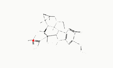 CC[C@]12[C@@H]3C[C@@H]3CN3CC[C@@]4(c5cc(Br)c(OC)cc5N(C)[C@H]4C(O)(C(=O)OC)[C@@H]1OC(C)=O)[C@@H]32